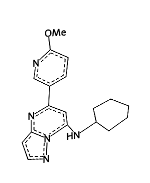 COc1ccc(-c2cc(NC3CCCCC3)n3nccc3n2)cn1